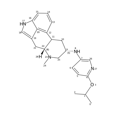 CC(C)Oc1ccc(N[C@H]2CC3c4cccc5[nH]cc(c45)C[C@H]3N(C)C2)cn1